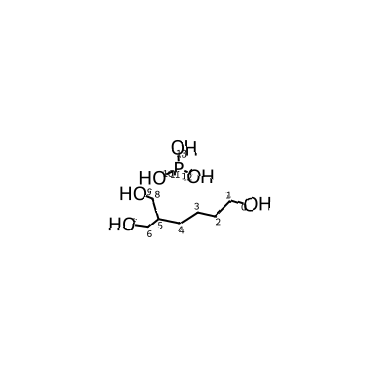 OCCCCC(CO)CO.OP(O)O